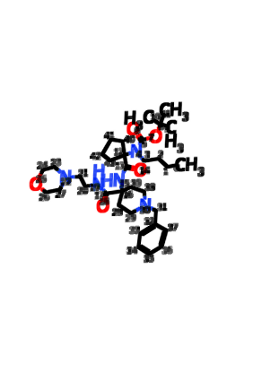 CCCCN(C(=O)OC(C)(C)C)C1(C(=O)NC2(C(=O)NCCN3CCOCC3)CCN(Cc3ccccc3)CC2)CCCC1